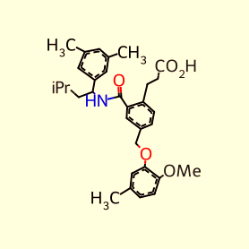 COc1ccc(C)cc1OCc1ccc(CCC(=O)O)c(C(=O)NC(CC(C)C)c2cc(C)cc(C)c2)c1